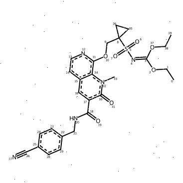 CCOC(=NS(=O)(=O)C1(COc2nccc3cc(C(=O)NCc4ccc(C#N)cc4)c(=O)n(C)c23)CC1)OCC